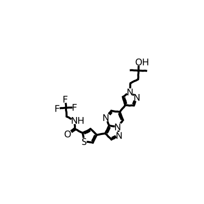 CC(C)(O)CCn1cc(-c2cnc3c(-c4csc(C(=O)NCC(F)(F)F)c4)cnn3c2)cn1